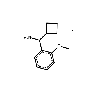 COc1ccccc1C(N)C1CCC1